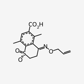 C=CCON=C1CCS(=O)(=O)c2c(C)cc(C(=O)O)c(C)c21